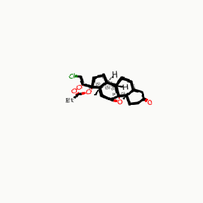 CCC(=O)O[C@]1(C(=O)CCl)CC[C@H]2[C@@H]3CCC4CC(=O)CC[C@]4(C)[C@]34OC4C[C@@]21C